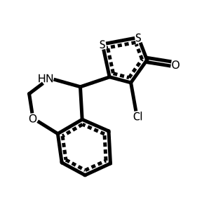 O=c1ssc(C2NCOc3ccccc32)c1Cl